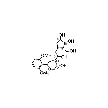 COc1cccc(OC)c1C1OC[C@@H](O)[C@@H]([C@H](O)CN2C[C@@H](O)[C@H](O)[C@H]2CO)O1